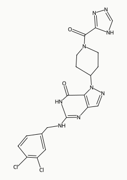 O=C(c1nnc[nH]1)N1CCC(n2ncc3nc(NCc4ccc(Cl)c(Cl)c4)[nH]c(=O)c32)CC1